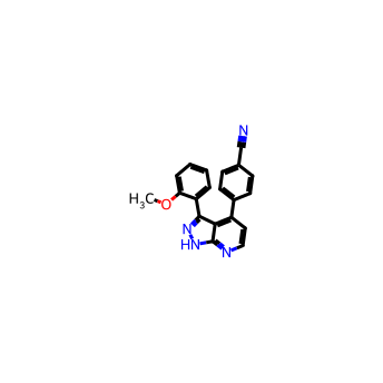 COc1ccccc1-c1n[nH]c2nccc(-c3ccc(C#N)cc3)c12